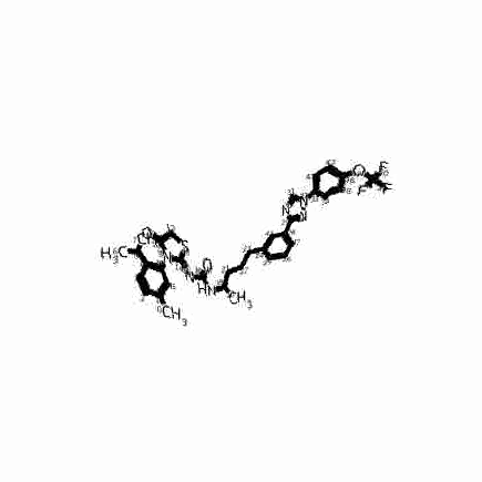 Cc1ccc(C(C)C)c(N2C(=O)CS/C2=N\C(=O)NC(C)CCCc2cccc(-c3ncn(-c4ccc(OC(F)(F)F)cc4)n3)c2)c1